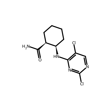 NC(=O)[C@H]1CCCC[C@H]1Nc1nc(Cl)ncc1Cl